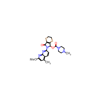 COc1cc(C)c2ccc(N3C(=O)C4=C(SCCS4)C3OC(=O)N3CCN(C)CC3)nc2n1